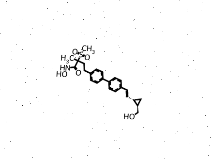 CC(CCc1ccc(-c2ccc(C=C[C@@H]3C[C@H]3CO)cc2)cc1)(C(=O)NO)S(C)(=O)=O